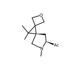 CC(=O)[C@@H]1C[C@@]2(CN1C)C(C)(C)C21COC1